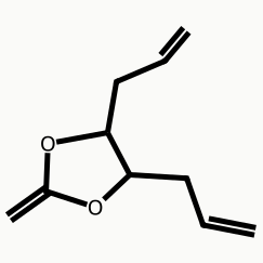 C=CCC1OC(=C)OC1CC=C